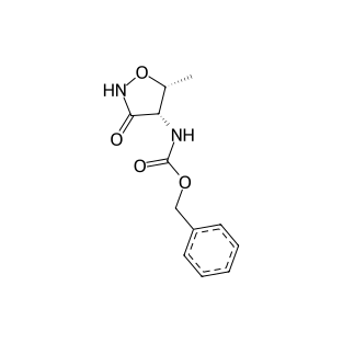 C[C@H]1ONC(=O)[C@H]1NC(=O)OCc1ccccc1